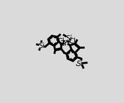 CC1=C(C)[CH]([Zr]([Cl])([Cl])([CH]2C(C)=C(C)c3c(C[Si](C)(C)C)ccc(C)c32)=[Si](C)C)c2c(C)ccc(C[Si](C)(C)C)c21